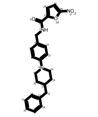 O=C(NCc1ccc(N2CCC(Cc3ccccc3)CC2)cc1)c1ccc([N+](=O)[O-])o1